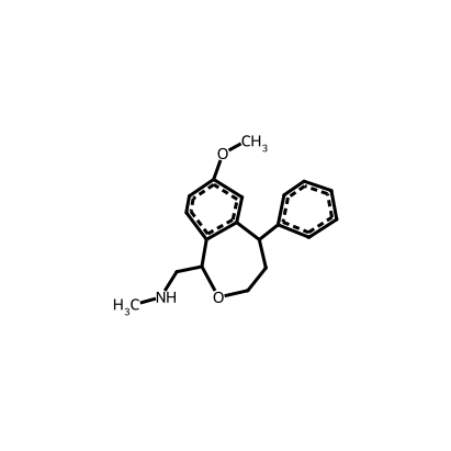 CNCC1OCCC(c2ccccc2)c2cc(OC)ccc21